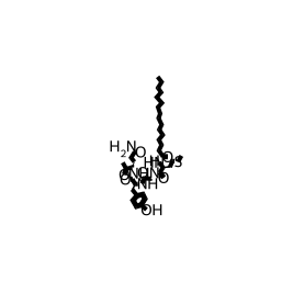 CCCCCCCCCCCCCCCC(=O)N[C@@H](CCSC)C(=O)NCC(=O)N[C@@H](Cc1ccc(O)cc1)C(=O)N[C@@H](CCC(N)=O)C(C)=O